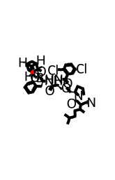 CC(C)CCC(C)C(C#N)C(=O)N1CCC[C@@H]1COC[C@H](NC(=O)c1cc(Cl)ccc1Cl)C(=O)N[C@@H](Cc1ccccc1)B1O[C@@H]2C[C@H]3C[C@@H](C3(C)C)[C@]2(C)O1